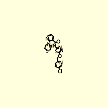 O=C(Nc1nnc(OCc2ccc(Cl)cn2)s1)c1cccnc1N1CCSCC1